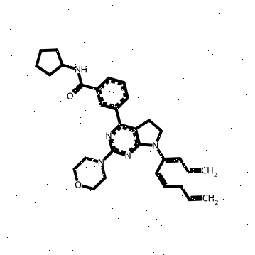 C=C/C=C(\C=C/CC=C)N1CCc2c(-c3cccc(C(=O)NC4CCCC4)c3)nc(N3CCOCC3)nc21